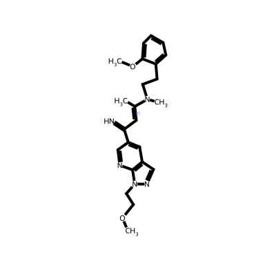 COCCn1ncc2cc(C(=N)/C=C(\C)N(C)CCc3ccccc3OC)cnc21